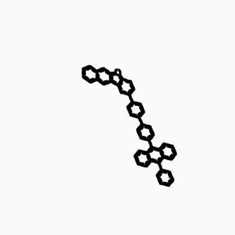 c1ccc(-c2c3ccccc3c(-c3ccc(-c4ccc(-c5ccc6oc7cc8ccccc8cc7c6c5)cc4)cc3)c3ccccc23)cc1